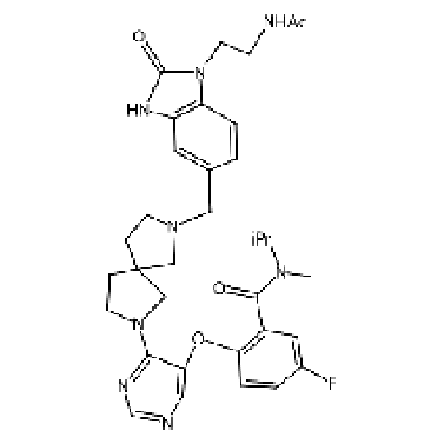 CC(=O)NCCn1c(=O)[nH]c2cc(CN3CCC4(CCN(c5ncncc5Oc5ccc(F)cc5C(=O)N(C)C(C)C)C4)C3)ccc21